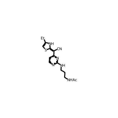 CCC1=CSC(=C(C#N)c2ccnc(NCCCNC(C)=O)n2)N1